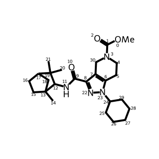 COC(=O)N1CCc2c(c(C(=O)NC3C4(C)CCC(C4)C3(C)C)nn2C2CCCCC2)C1